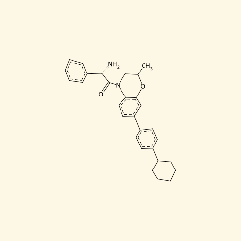 CC1CN(C(=O)[C@@H](N)c2ccccc2)c2ccc(-c3ccc(C4CCCCC4)cc3)cc2O1